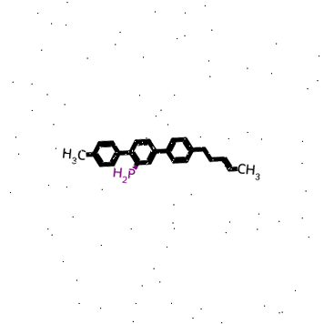 C/C=C/CCc1ccc(-c2ccc(-c3ccc(C)cc3)c(P)c2)cc1